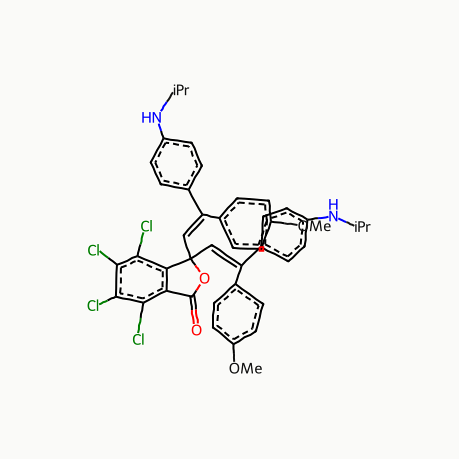 COc1ccc(/C(=C\C2(/C=C(/c3ccc(NC(C)C)cc3)c3ccc(OC)cc3)OC(=O)c3c(Cl)c(Cl)c(Cl)c(Cl)c32)c2ccc(NC(C)C)cc2)cc1